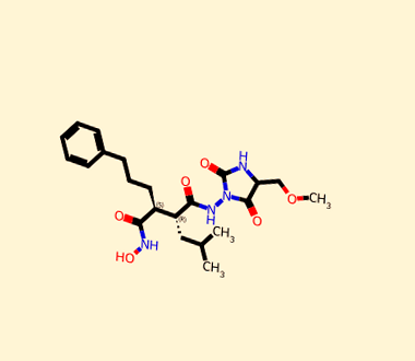 COCC1NC(=O)N(NC(=O)[C@H](CC(C)C)[C@H](CCCc2ccccc2)C(=O)NO)C1=O